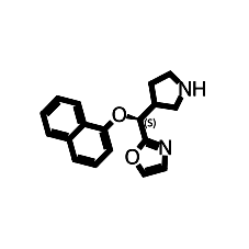 c1ccc2c(O[C@H](c3ncco3)C3CCNC3)cccc2c1